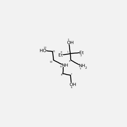 CCC(O)(CC)CN.OCCNCCO